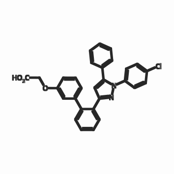 O=C(O)COc1cccc(-c2ccccc2-c2cc(-c3ccccc3)n(-c3ccc(Cl)cc3)n2)c1